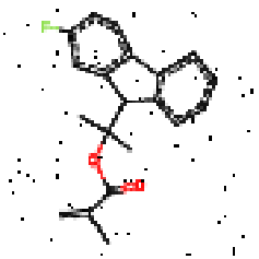 C=C(C)C(=O)OC(C)(C)C1c2ccccc2-c2ccc(F)cc21